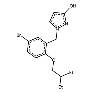 CCC(CC)COc1ccc(Br)cc1Cn1ccc(O)n1